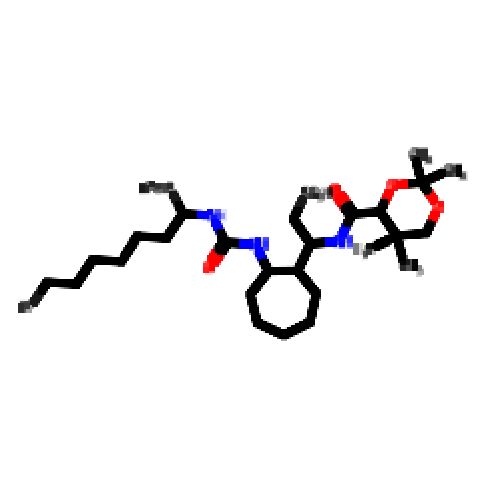 CCCCCC(CCCCCCC(C)C)NC(=O)NC1CCCCCC1C(CC(=O)O)NC(=O)C1OC(C)(C)OCC1(C)C